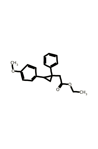 CCOC(=O)CC1(c2ccccc2)CC1c1ccc(OC)cc1